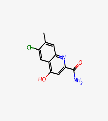 Cc1cc2nc(C(N)=O)cc(O)c2cc1Cl